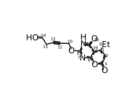 CCc1cc(=O)oc2nc(OCC#CCCO)[nH]c(=O)c12